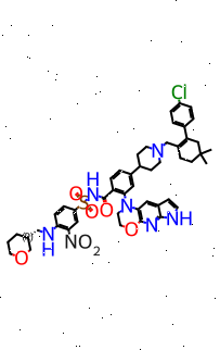 CC1(C)CCC(CN2CCC(c3ccc(C(=O)NS(=O)(=O)c4ccc(NC[C@H]5CCCOC5)c([N+](=O)[O-])c4)c(N4CCOc5nc6[nH]ccc6cc54)c3)CC2)=C(c2ccc(Cl)cc2)C1